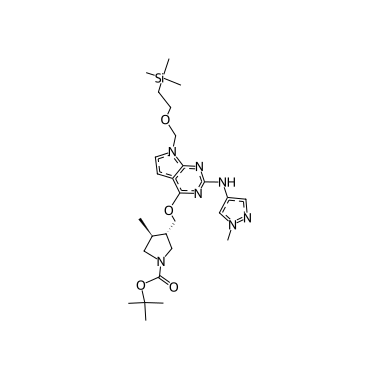 C[C@@H]1CN(C(=O)OC(C)(C)C)C[C@H]1COc1nc(Nc2cnn(C)c2)nc2c1ccn2COCC[Si](C)(C)C